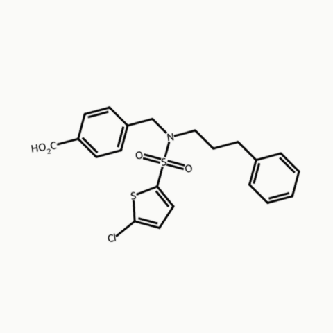 O=C(O)c1ccc(CN(CCCc2ccccc2)S(=O)(=O)c2ccc(Cl)s2)cc1